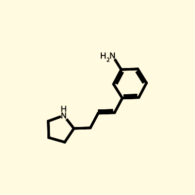 Nc1cccc(/C=C/CC2CCCN2)c1